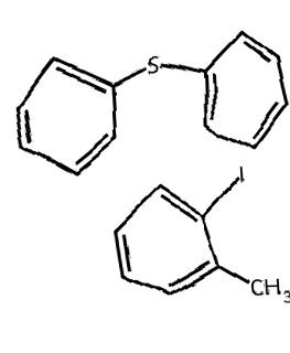 Cc1ccccc1I.c1ccc(Sc2ccccc2)cc1